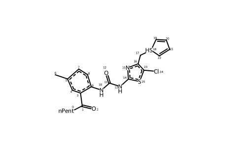 CCCCCC(=O)c1cc(C)ccc1NC(=O)Nc1nc(C[SH]2C=CC=C2)c(Cl)s1